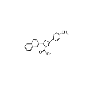 Cc1ccc(C2=CC(C(=O)C(C)C)C(c3ccc4ccccc4c3)C2)cc1